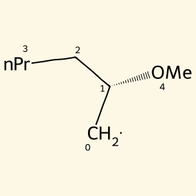 [CH2][C@H](CCCC)OC